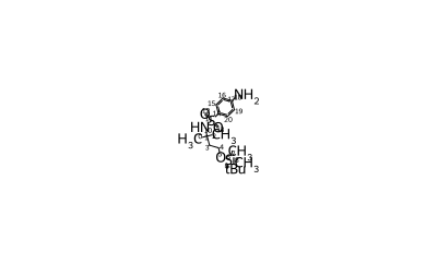 CC(C)(CCO[Si](C)(C)C(C)(C)C)NS(=O)(=O)c1ccc(N)cc1